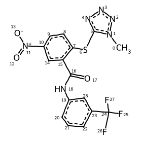 Cn1nnnc1Sc1ccc([N+](=O)[O-])cc1C(=O)Nc1cccc(C(F)(F)F)c1